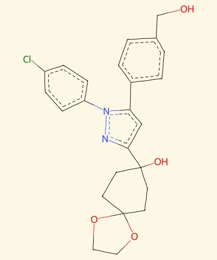 OCc1ccc(-c2cc(C3(O)CCC4(CC3)OCCO4)nn2-c2ccc(Cl)cc2)cc1